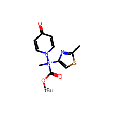 Cc1nc([N+](C)(C(=O)OC(C)(C)C)n2ccc(=O)cc2)cs1